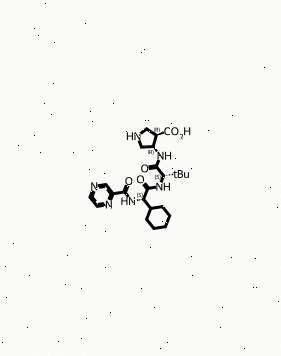 CC(C)(C)[C@H](NC(=O)[C@@H](NC(=O)c1cnccn1)C1CCCCC1)C(=O)N[C@H]1CNC[C@H]1C(=O)O